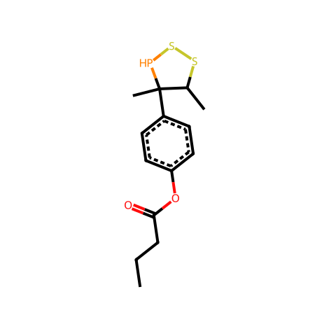 CCCC(=O)Oc1ccc(C2(C)PSSC2C)cc1